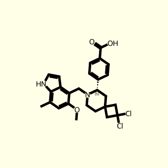 COc1cc(C)c2[nH]ccc2c1CN1CCC2(C[C@H]1c1ccc(C(=O)O)cc1)CC(Cl)(Cl)C2